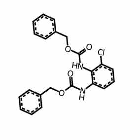 O=C(Nc1cccc(Cl)c1NC(=O)OCc1ccccc1)OCc1ccccc1